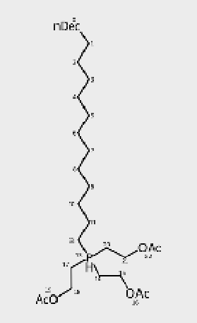 CCCCCCCCCCCCCCCCCCCCCC[PH](CCOC(C)=O)(CCOC(C)=O)CCOC(C)=O